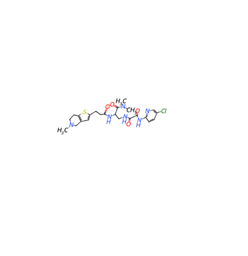 CN1CCc2sc(CCC(=O)NC(CNC(=O)C(=O)Nc3ccc(Cl)cn3)C(=O)N(C)C)cc2C1